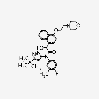 Cc1cc(N(C(=O)C(=O)c2ccc(OCCN3CCOCC3)c3ccccc23)c2cc(C(C)(C)C)n[nH]2)ccc1F